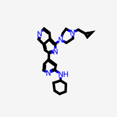 c1cc2c(N3CCN(CC4CC4)CC3)nc(-c3ccnc(NC4CCCCC4)c3)cc2cn1